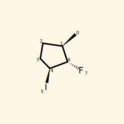 C[C@@H]1CC[C@H](I)[C@H]1F